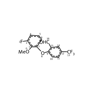 COc1c(F)cccc1Oc1ccc(C(F)(F)F)cc1C=O